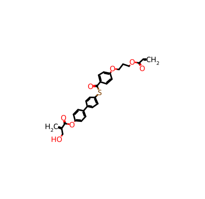 C=CC(=O)OCCCOc1ccc(C(=O)Sc2ccc(-c3ccc(OC(=O)C(=C)CO)cc3)cc2)cc1